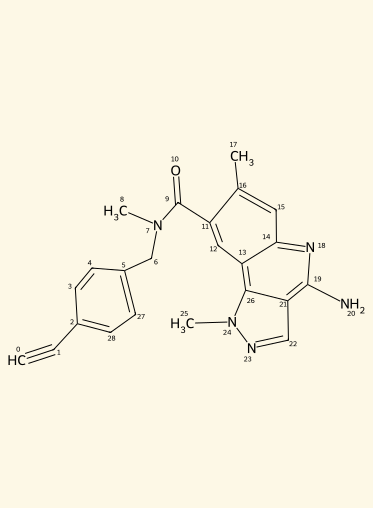 C#Cc1ccc(CN(C)C(=O)c2cc3c(cc2C)nc(N)c2cnn(C)c23)cc1